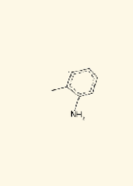 Cc1[c]cccc1N